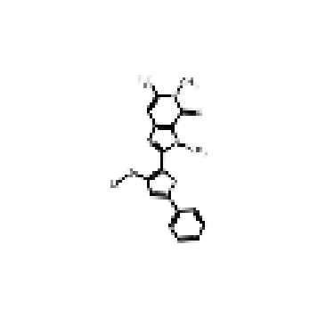 CCSc1cc(-c2ccccc2)sc1-c1nc2cc(C(F)(F)F)n(C)c(=O)c2n1C